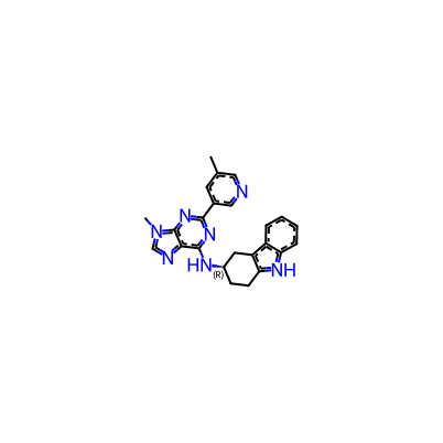 Cc1cncc(-c2nc(N[C@@H]3CCc4[nH]c5ccccc5c4C3)c3ncn(C)c3n2)c1